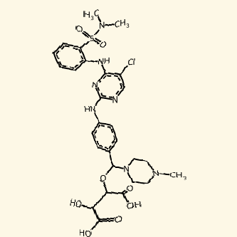 CN1CCN(C(OC(C(=O)O)C(O)C(=O)O)c2ccc(Nc3ncc(Cl)c(Nc4ccccc4S(=O)(=O)N(C)C)n3)cc2)CC1